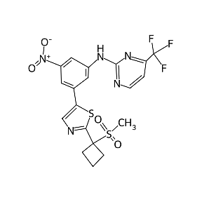 CS(=O)(=O)C1(c2ncc(-c3cc(Nc4nccc(C(F)(F)F)n4)cc([N+](=O)[O-])c3)s2)CCC1